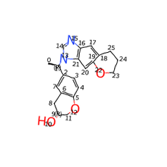 C[C@H](c1ccc2c(c1)C[C@@H](O)CO2)n1cnc2cc3c(cc21)OCCC3